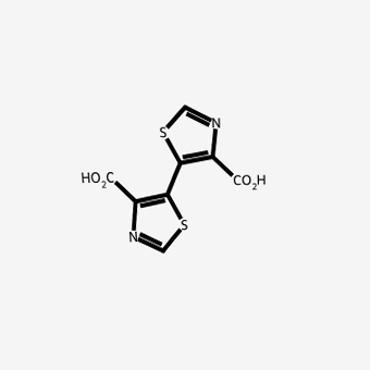 O=C(O)c1ncsc1-c1scnc1C(=O)O